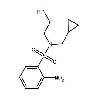 NCCN(CC1CC1)S(=O)(=O)c1ccccc1[N+](=O)[O-]